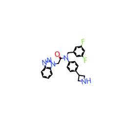 O=C(Cn1nnc2ccccc21)N(Cc1cc(F)cc(F)c1)c1ccc(C2CNC2)cc1